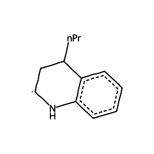 CCCC1C[CH]Nc2ccccc21